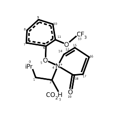 CC(C)CC(C(=O)O)[N+]1(Oc2ccccc2OC(F)(F)F)C=CC=CC1=O